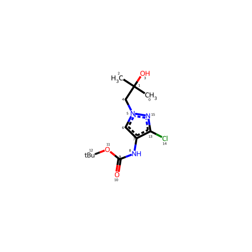 CC(C)(O)Cn1cc(NC(=O)OC(C)(C)C)c(Cl)n1